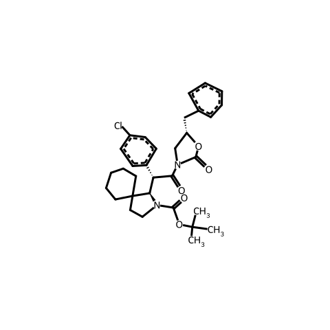 CC(C)(C)OC(=O)N1CCC2(CCCCC2)[C@H]1[C@@H](C(=O)N1C[C@H](Cc2ccccc2)OC1=O)c1ccc(Cl)cc1